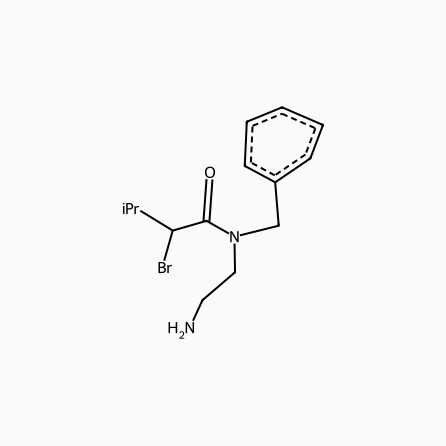 CC(C)C(Br)C(=O)N(CCN)Cc1ccccc1